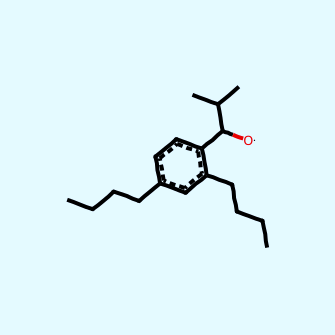 CCCCc1ccc(C([O])C(C)C)c(CCCC)c1